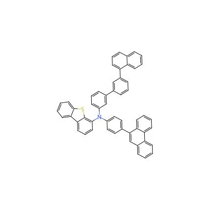 c1cc(-c2cccc(N(c3ccc(-c4cc5ccccc5c5ccccc45)cc3)c3cccc4c3sc3ccccc34)c2)cc(-c2cccc3ccccc23)c1